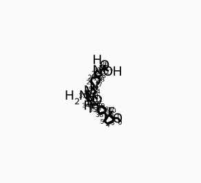 COc1cccc(-c2ccc([C@@H](Oc3cc(N4CCC5(CC4)CNC(C(=O)O)C5)nc(N)n3)C(F)(F)F)cc2)c1F